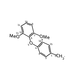 [CH2]c1ccc(Oc2c(OC)cccc2OC)cc1